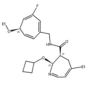 CCO[C@@H]1C=CC(CNC(=O)[C@H]2CC(CC)=CC=N[C@H]2OC2CCC2)=CC(F)=C1